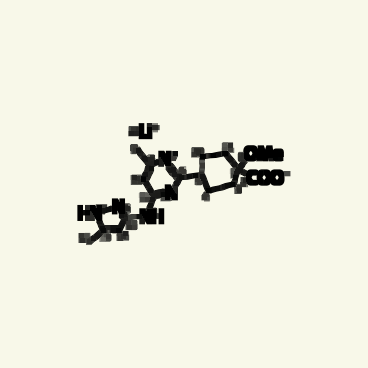 COC1(C(=O)[O-])CCC(c2nc(C)cc(Nc3cc(C)[nH]n3)n2)CC1.[Li+]